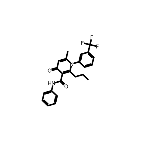 CCCc1c(C(=O)Nc2ccccc2)c(=O)cc(C)n1-c1cccc(C(F)(F)F)c1